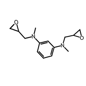 CN(CC1CO1)c1cccc(N(C)CC2CO2)c1